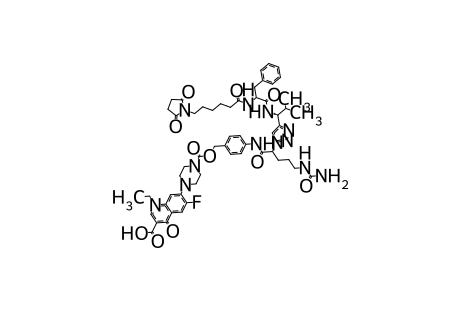 CCn1cc(C(=O)O)c(=O)c2cc(F)c(N3CCN(C(=O)OCc4ccc(NC(=O)C(CCCNC(N)=O)n5cc([C@@H](NC(=O)C(Cc6ccccc6)NC(=O)CCCCCN6C(=O)CCC6=O)C(C)C)nn5)cc4)CC3)cc21